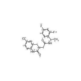 CC(NC(=O)CN1Cc2nc(Cl)ccc2NC1=O)c1ccc(F)cc1F